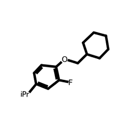 CC(C)c1ccc(OCC2CCCCC2)c(F)c1